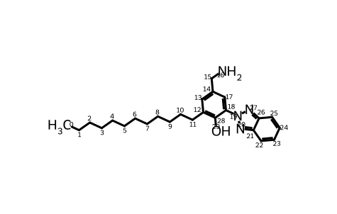 CCCCCCCCCCCCc1cc(CN)cc(-n2nc3ccccc3n2)c1O